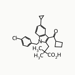 CC(C)(Cc1c(C(=O)C2CCC2)c2cc(C3CC3)ccc2n1Cc1ccc(Cl)cc1)C(=O)O